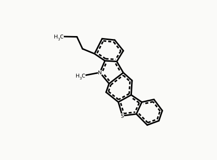 CCCc1cccc2c3cc4c(cc3n(C)c12)sc1ccccc14